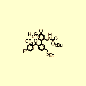 CCSCc1ccc(C(=O)c2ccc(F)cc2C(F)(F)F)c(-c2cn(C)c(=O)cc2CNC(=O)OC(C)(C)C)c1